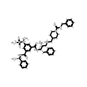 C[C@@H](NC(=O)c1cc(C(=O)N[C@@H](Cc2ccccc2)[C@H](O)CNCC2CCN(C(=O)OCc3ccccc3)CC2)cc(N(C)S(C)(=O)=O)c1)c1ccccc1